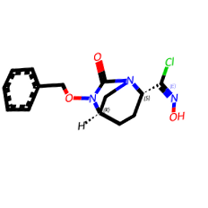 O=C1N2C[C@@H](CC[C@H]2/C(Cl)=N\O)N1OCc1ccccc1